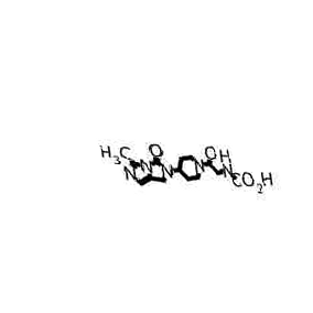 Cc1ncc2n1C(=O)N(C1CCN(C(=O)CNC(=O)O)CC1)C2